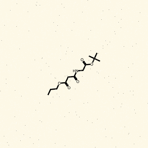 CCCOC(=O)CC(=O)NCC(=O)OC(C)(C)C